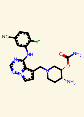 N#Cc1ccc(F)c(Nc2ncnn3ccc(CN4CC[C@@H](N)[C@@H](OC(N)=O)C4)c23)c1